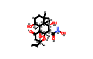 C=C[C@@]1(C)CC(=O)[C@]2(O)[C@@]3(C)[C@@H](O)CCC(C)(C)[C@@H]3[C@H](O)[C@H](C(=O)NO)[C@@]2(C)O1